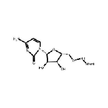 CCCCCNOC[C@H]1O[C@@H](n2ccc(N)nc2=O)[C@H](O)[C@@H]1O